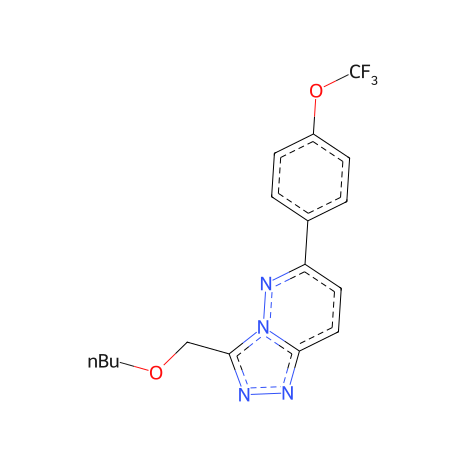 CCCCOCc1nnc2ccc(-c3ccc(OC(F)(F)F)cc3)nn12